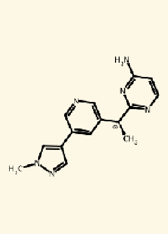 C[C@@H](c1cncc(-c2cnn(C)c2)c1)c1nccc(N)n1